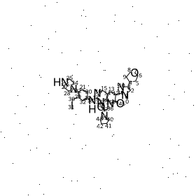 Cn1cc(C2CCOCC2)nc1-c1cc2cnc(Nc3ccc(N4CCNCC4)c(CI)c3)nc2n(CC(=O)N2CCCC2)c1=O